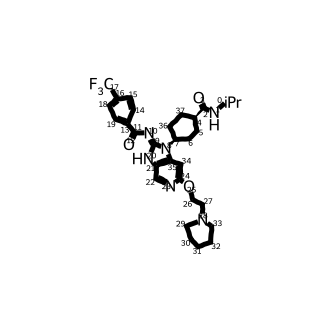 CC(C)NC(=O)[C@H]1CC[C@@H](n2/c(=N/C(=O)c3ccc(C(F)(F)F)cc3)[nH]c3cnc(OCCN4CCCCC4)cc32)CC1